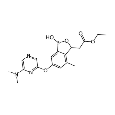 CCOC(=O)CC1OB(O)c2cc(Oc3cncc(N(C)C)n3)cc(C)c21